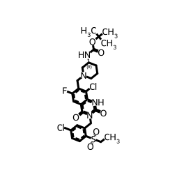 CCS(=O)(=O)c1ccc(Cl)cc1Cn1c(=O)[nH]c2c(Cl)c(CN3CCC[C@@H](NC(=O)OC(C)(C)C)C3)c(F)cc2c1=O